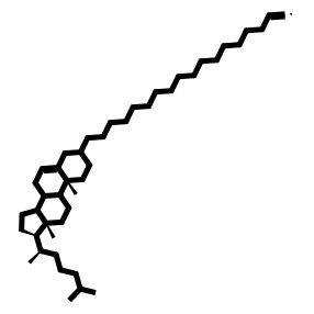 [CH]=CCCCCCCCCCCCCCCCCC1CC[C@@]2(C)C(=CCC3C2CC[C@@]2(C)C3CC[C@@H]2[C@H](C)CCCC(C)C)C1